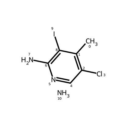 Cc1c(Cl)cnc(N)c1I.N